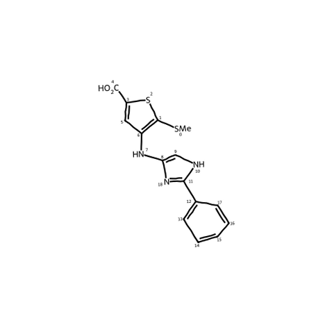 CSc1sc(C(=O)O)cc1Nc1c[nH]c(-c2ccccc2)n1